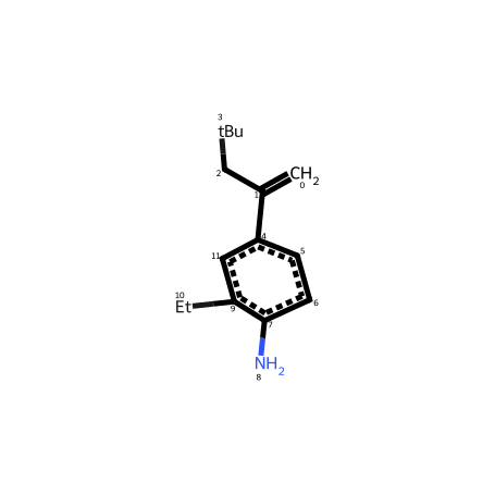 C=C(CC(C)(C)C)c1ccc(N)c(CC)c1